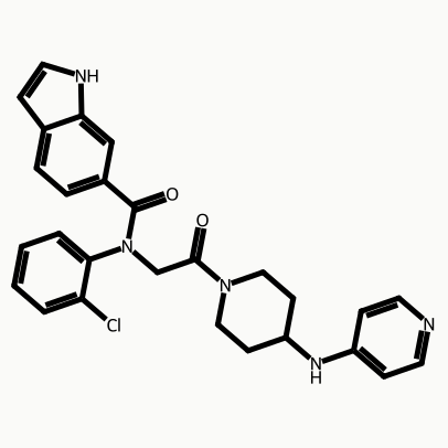 O=C(CN(C(=O)c1ccc2cc[nH]c2c1)c1ccccc1Cl)N1CCC(Nc2ccncc2)CC1